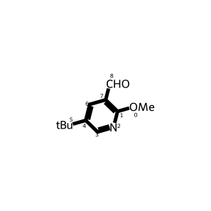 COc1ncc(C(C)(C)C)cc1C=O